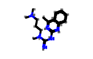 Cc1nc(NC(=N)N(C)CCCN(C)C)nc2ccccc12